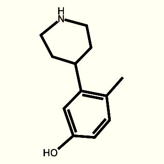 Cc1ccc(O)cc1C1CCNCC1